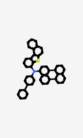 c1ccc(-c2ccc(N(c3ccc(-c4cccc5cccc(-c6ccccc6)c45)cc3)c3cccc4c3sc3ccc5ccccc5c34)cc2)cc1